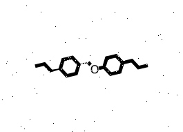 CCCC1CCC(OC[C@H]2CC[C@H](CCC)CC2)CC1